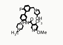 COc1cc(C(F)(F)F)c(C(=O)Nc2cc(-c3cc(CN4CCC(O)C4)ccc3F)ccc2N2CCN(C)CC2)cn1